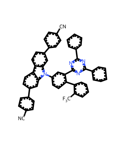 N#Cc1ccc(-c2ccc3c4ccc(-c5ccc(C#N)cc5)cc4n(-c4ccc(-c5ccccc5C(F)(F)F)c(-c5nc(-c6ccccc6)nc(-c6ccccc6)n5)c4)c3c2)cc1